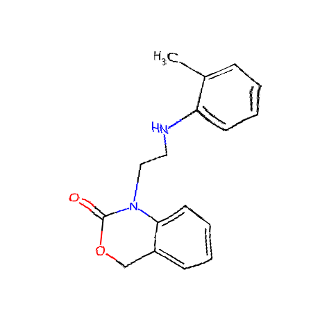 Cc1ccccc1NCCN1C(=O)OCc2ccccc21